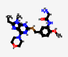 CCc1nc2c(N3CCOCC3)nc(SCc3ccc(OC)c(NC(=O)CN)c3)nc2n1C